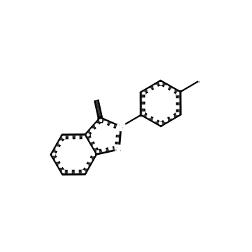 O=c1c2ccccc2[nH]n1-c1ccc(I)cc1